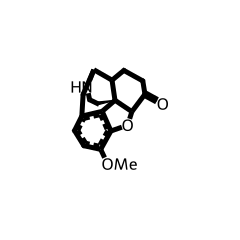 COc1ccc2c3c1OC1C(=O)CCC4C(C2)NCC[C@]314